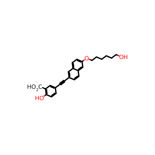 O=C(O)c1cc(C#Cc2ccc3cc(OCCCCCCO)ccc3c2)ccc1O